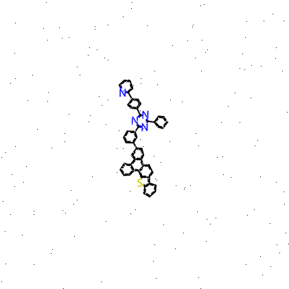 c1ccc(-c2nc(-c3ccc(-c4ccccn4)cc3)nc(-c3cccc(-c4ccc5c(c4)c4ccccc4c4c5ccc5c6ccccc6sc54)c3)n2)cc1